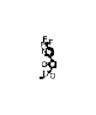 CCOC(=O)C1CCC(c2ccc(C(F)(F)F)nc2)C1=O